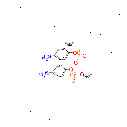 Nc1ccc(O[PH](=O)[O-])cc1.Nc1ccc(O[PH](=O)[O-])cc1.[Na+].[Na+]